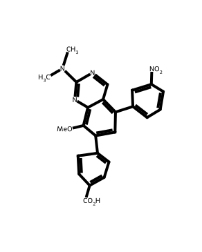 COc1c(-c2ccc(C(=O)O)cc2)cc(-c2cccc([N+](=O)[O-])c2)c2cnc(N(C)C)nc12